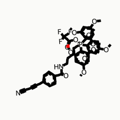 COc1cc(OC)c(P(CCCCNC(=O)c2ccc(C#CC#N)cc2)(OC(=O)C(F)(F)F)(c2c(OC)cc(OC)cc2OC)c2c(OC)cc(OC)cc2OC)c(OC)c1